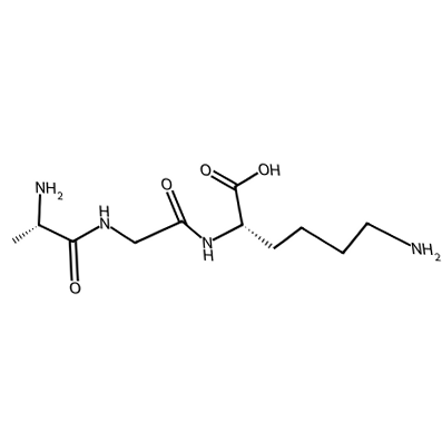 C[C@H](N)C(=O)NCC(=O)N[C@@H](CCCCN)C(=O)O